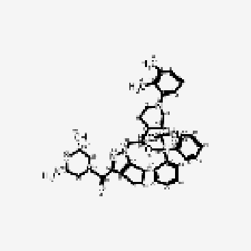 Cc1cccc(N2CCC(C(Cn3nc(C(=O)N4C[C@@H](C)O[C@@H](C)C4)c4c3CCC4)O[Si](c3ccccc3)(c3ccccc3)C(C)(C)C)CC2)c1C